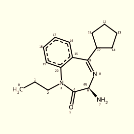 CCCN1C(=O)[C@H](N)N=C(C2CCCC2)c2ccccc21